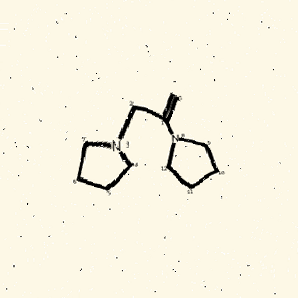 C=C(CN1CCCC1)N1CCCC1